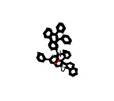 c1ccc(-c2cccc(N(c3ccc4c(c3)c(-c3ccccc3)c(-c3ccccc3)c3ccccc34)c3ccccc3-c3cccc4oc5c6ccccc6ccc5c34)c2)cc1